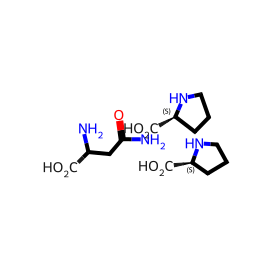 NC(=O)CC(N)C(=O)O.O=C(O)[C@@H]1CCCN1.O=C(O)[C@@H]1CCCN1